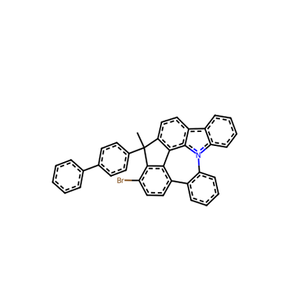 CC1(c2ccc(-c3ccccc3)cc2)c2ccc3c4ccccc4n4c3c2-c2c(ccc(Br)c21)-c1ccccc1-4